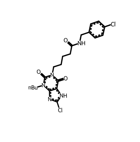 CCCCn1c(=O)n(CCCCC(=O)NCc2ccc(Cl)cc2)c(=O)c2[nH]c(Cl)nc21